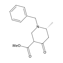 COC(=O)C1CN(Cc2ccccc2)[C@H](C)CC1=O